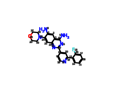 Nc1cc2c(N)nc(-c3ccnc(-c4ccccc4F)c3)nc2cc1N1CCOCC1